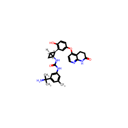 CC(C)(N)c1cc(NC(=O)N[C@@]23C[C@H]2[C@H]3c2cc(Oc3ccnc4c3CCC(=O)N4)ccc2O)cc(C(F)(F)F)c1